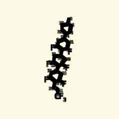 Cc1ccc(-c2cc(F)c(-c3cc(F)c(-c4cc(F)c(/C=C/C(F)(F)F)c(F)c4)c(F)c3)c(F)c2)cc1